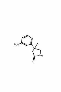 CC1(c2cccc(N)c2)CNC(=O)C1